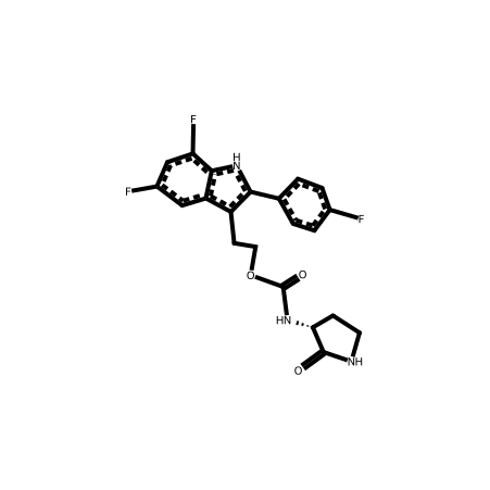 O=C(N[C@@H]1CCNC1=O)OCCc1c(-c2ccc(F)cc2)[nH]c2c(F)cc(F)cc12